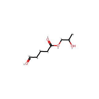 CC(O)COC(=O)CCCC=O